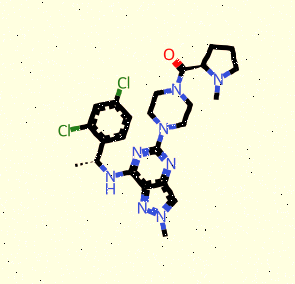 C[C@@H](Nc1nc(N2CCN(C(=O)[C@H]3CCCN3C)CC2)nc2cn(C)nc12)c1ccc(Cl)cc1Cl